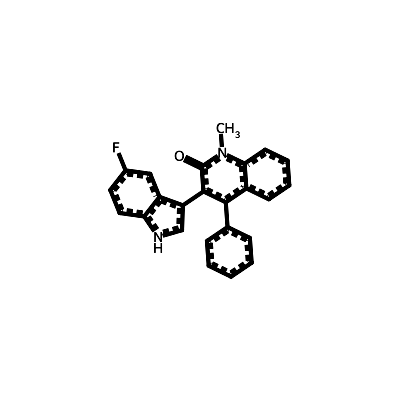 Cn1c(=O)c(-c2c[nH]c3ccc(F)cc23)c(-c2ccccc2)c2ccccc21